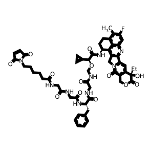 CC[C@@]1(O)C(=O)OCc2c1cc1n(c2=O)Cc2c-1nc1cc(F)c(C)c3c1c2[C@@H](NC(=O)[C@@H](OCNC(=O)CNC(=O)[C@H](Cc1ccccc1)NC(=O)CNC(=O)CNC(=O)CCCCCN1C(=O)C=CC1=O)C1=CC1)CC3